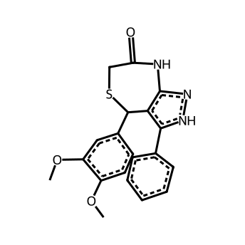 COc1ccc(C2SCC(=O)Nc3n[nH]c(-c4ccccc4)c32)cc1OC